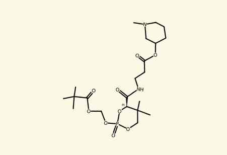 CN1CCCC(OC(=O)CCNC(=O)[C@@H]2OP(=O)(OCOC(=O)C(C)(C)C)OCC2(C)C)C1